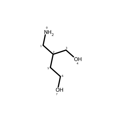 NCC(CO)CCO